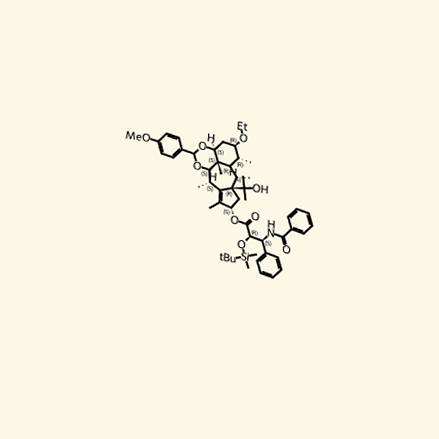 CCO[C@@H]1C[C@@H]2OC(c3ccc(OC)cc3)O[C@H]3[C@@H](C)C4=C(C)[C@@H](OC(=O)[C@H](O[Si](C)(C)C(C)(C)C)[C@@H](NC(=O)c5ccccc5)c5ccccc5)C[C@@]4(C(C)(C)O)[C@@H](C)[C@H]([C@H]1C)[C@@]23C